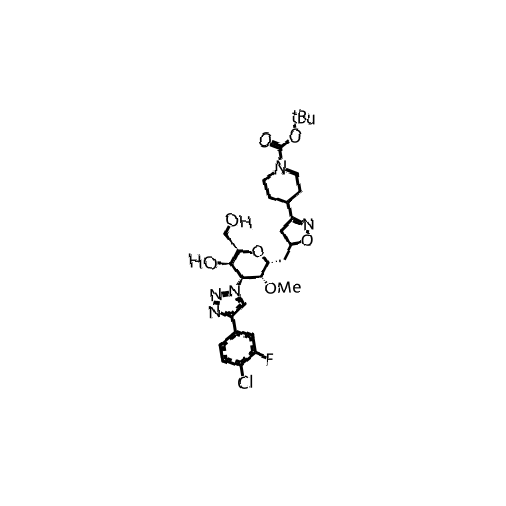 CO[C@@H]1[C@@H](n2cc(-c3ccc(Cl)c(F)c3)nn2)[C@@H](O)[C@@H](CO)O[C@@H]1CC1CC(C2CCN(C(=O)OC(C)(C)C)CC2)=NO1